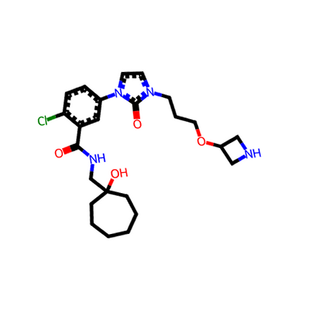 O=C(NCC1(O)CCCCCC1)c1cc(-n2ccn(CCCOC3CNC3)c2=O)ccc1Cl